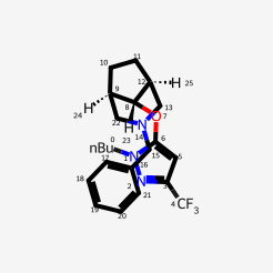 CCCCn1nc(C(F)(F)F)cc1O[C@@H]1[C@@H]2CC[C@H]1CN(Cc1ccccc1)C2